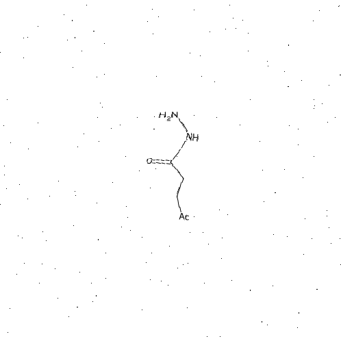 CC(=O)CCC(=O)NN